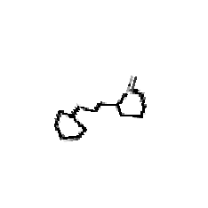 C1CCC(CCCC2CCCCN2)CC1